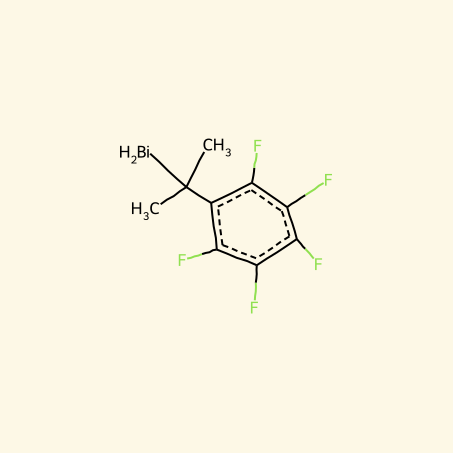 C[C](C)([BiH2])c1c(F)c(F)c(F)c(F)c1F